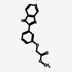 COC(=O)COc1cccc(-c2nc3cnccc3[nH]2)c1